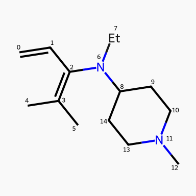 C=CC(=C(C)C)N(CC)C1CCN(C)CC1